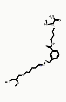 CN[C@@H](CCCCNC(=O)c1cccc(CO/N=C/CCCCOCC(COC)OC)c1)C(N)=O